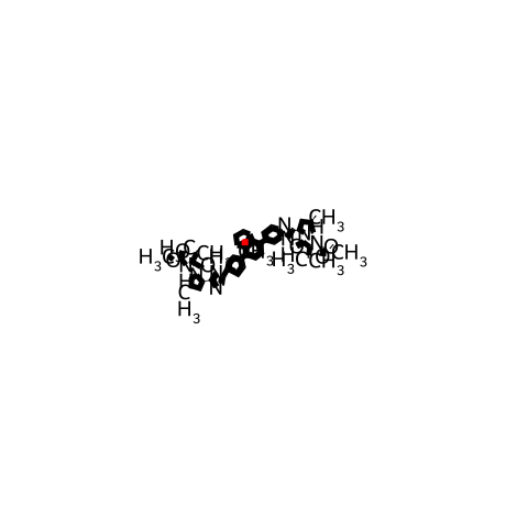 COC(=O)NC(C(=O)N1C[C@@H](C)C[C@H]1c1nc2ccc(-c3ccc(-c4ccc(-c5cnc([C@@H]6C[C@H](C)CN6C(=O)[C@@H](NC(=O)OC)C(C)C)[nH]5)cc4)c4c3C3CCC4C(C)C3)cc2[nH]1)C(C)C